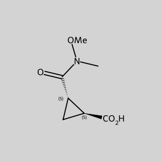 CON(C)C(=O)[C@H]1C[C@@H]1C(=O)O